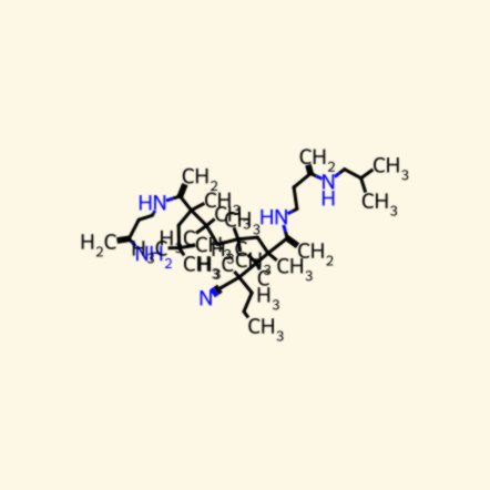 C=C(N)CCNC(=C)C(C)(CC(C)(C)C)C(C)(C)CC(C)(C)CC(C)(C(=C)NCCC(=C)NCC(C)C)C(C)(C)C(C)(C#N)CCC